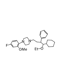 CCOC(C1CCCCC1)C(CCN1CCN(c2ccc(F)cc2OC)CC1)c1ccccc1